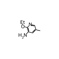 CCOc1ncc(C)cc1N